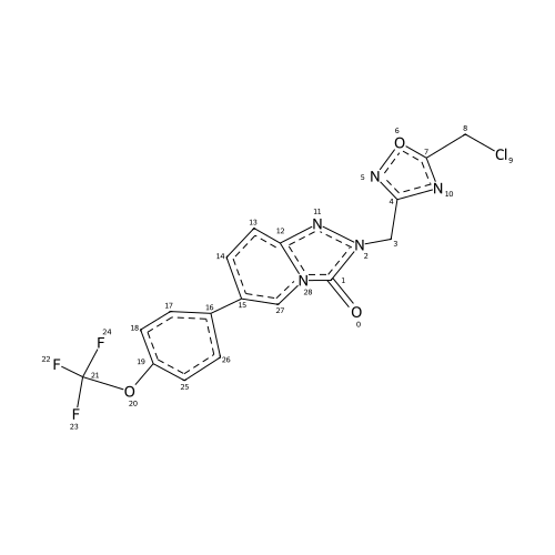 O=c1n(Cc2noc(CCl)n2)nc2ccc(-c3ccc(OC(F)(F)F)cc3)cn12